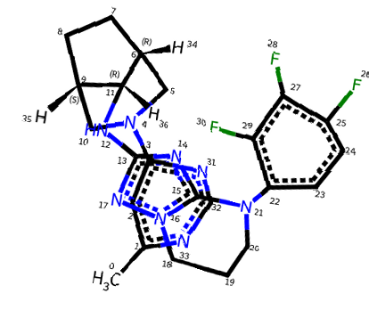 Cc1cc(N2C[C@H]3CC[C@@H](C2)[C@H]3Nc2nc3n(n2)CCCN3c2ccc(F)c(F)c2F)ncn1